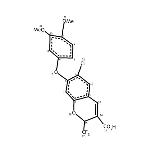 COc1ccc(Oc2cc3c(cc2Cl)C=C(C(=O)O)C(C(F)(F)F)O3)cc1OC